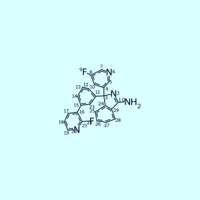 NC1=NC(c2cncc(F)c2)(c2cccc(-c3cccnc3F)c2)c2ccccc21